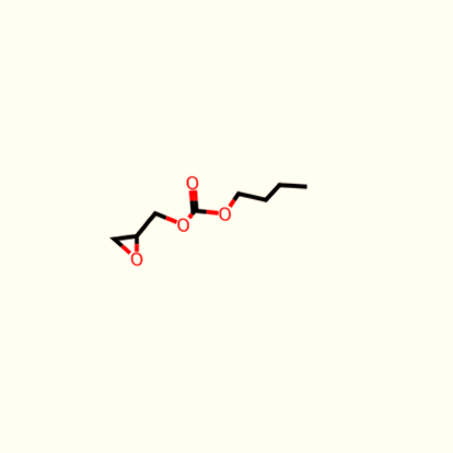 CCCCOC(=O)OCC1CO1